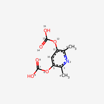 Cc1nc(C)c(OC(=O)O)cc1OC(=O)O